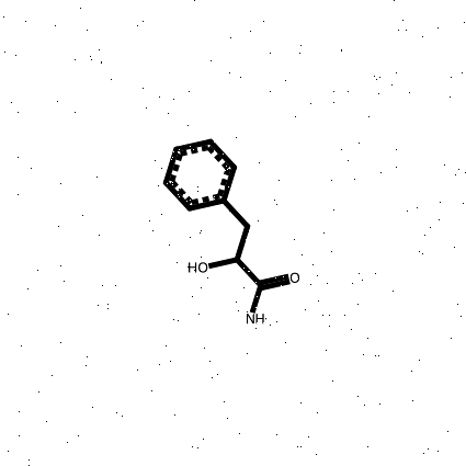 [NH]C(=O)C(O)Cc1ccccc1